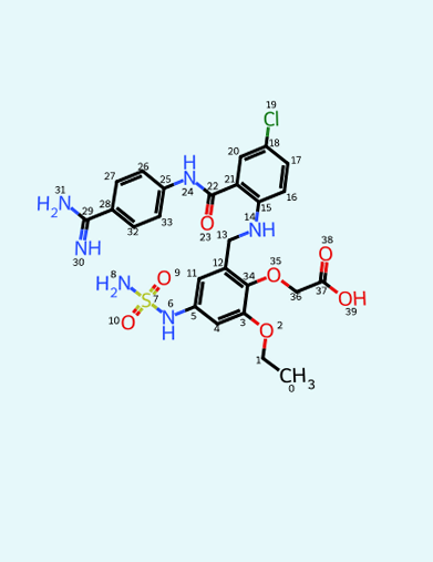 CCOc1cc(NS(N)(=O)=O)cc(CNc2ccc(Cl)cc2C(=O)Nc2ccc(C(=N)N)cc2)c1OCC(=O)O